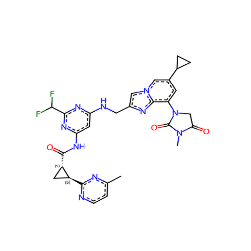 Cc1ccnc([C@H]2C[C@@H]2C(=O)Nc2cc(NCc3cn4cc(C5CC5)cc(N5CC(=O)N(C)C5=O)c4n3)nc(C(F)F)n2)n1